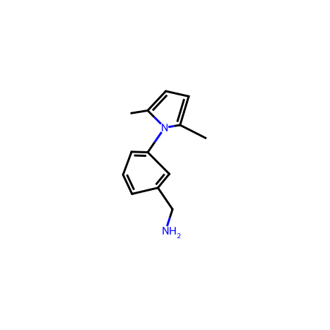 Cc1ccc(C)n1-c1cccc(CN)c1